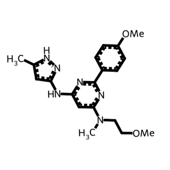 COCCN(C)c1cc(Nc2cc(C)[nH]n2)nc(-c2ccc(OC)cc2)n1